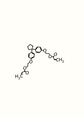 C=CC(=O)OCCOc1ccc(C2(c3ccc(OCCOC(=O)C=C)cc3)CCCC2)cc1